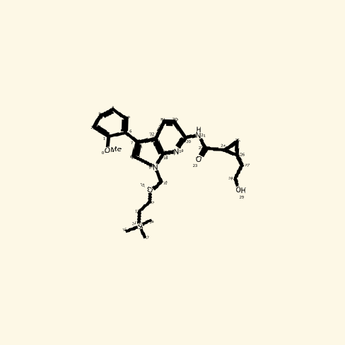 COc1ccccc1-c1cn(COCC[Si](C)(C)C)c2nc(NC(=O)C3CC3CCO)ccc12